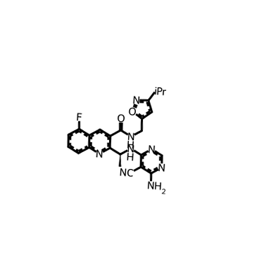 CC(C)c1cc(CNC(=O)c2cc3c(F)cccc3nc2[C@H](C)Nc2ncnc(N)c2C#N)on1